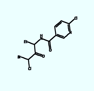 CCC(NC(=O)c1ccc(Cl)nc1)C(=O)C(Cl)Br